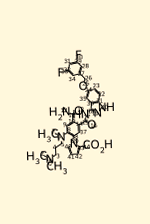 CN(C)CCCN(C)c1cc(C(N)=O)c(C(=O)Nc2n[nH]c3ccc(OCc4cc(F)cc(F)c4)cc23)cc1-n1cccc1C(=O)O